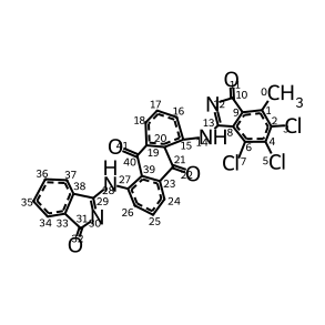 Cc1c(Cl)c(Cl)c(Cl)c2c1C(=O)N=C2Nc1cccc2c1C(=O)c1cccc(NC3=NC(=O)c4ccccc43)c1C2=O